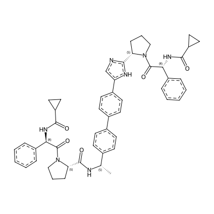 C[C@H](NC(=O)[C@@H]1CCCN1C(=O)[C@H](NC(=O)C1CC1)c1ccccc1)c1ccc(-c2ccc(-c3cnc([C@@H]4CCCN4C(=O)[C@H](NC(=O)C4CC4)c4ccccc4)[nH]3)cc2)cc1